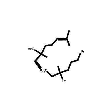 C=CC(C)(CCC=C(C)C)OC(C)=O.CCC(C)(CCCC(C)C)CC(=O)O